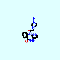 O=C1Nc2cccnc2N(C(=O)CN2CCNCC2)c2ccccc21